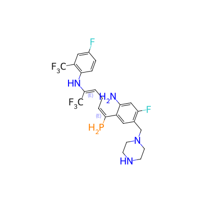 Nc1cc(F)c(CN2CCNCC2)cc1/C(P)=C\C/C=C(/Nc1ccc(F)cc1C(F)(F)F)C(F)(F)F